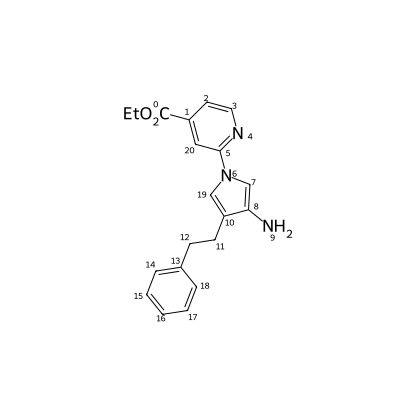 CCOC(=O)c1ccnc(-n2cc(N)c(CCc3ccccc3)c2)c1